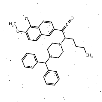 CCCCC(C(=C=O)c1ccc2c(Cl)c(OC)ccc2c1)N1CCN(C(c2ccccc2)c2ccccc2)CC1